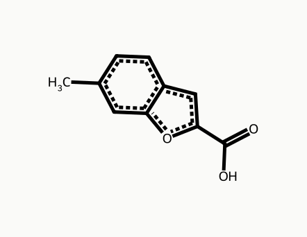 Cc1ccc2cc(C(=O)O)oc2c1